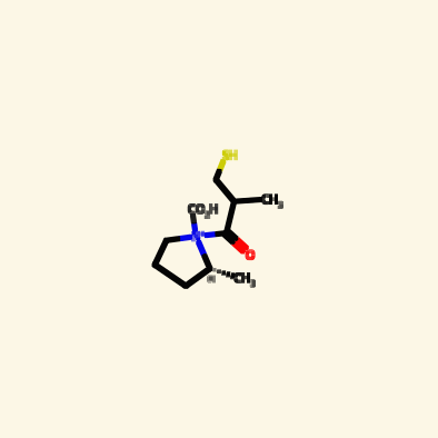 CC(CS)C(=O)[N+]1(C(=O)O)CCC[C@H]1C